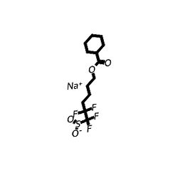 O=C(OCCCCC(F)(F)C(F)(F)S(=O)[O-])C1CCCCC1.[Na+]